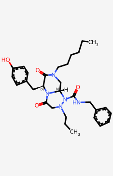 CCCCCCN1C[C@H]2N(C(=O)CN(CCC)N2C(=O)NCc2ccccc2)[C@@H](Cc2ccc(O)cc2)C1=O